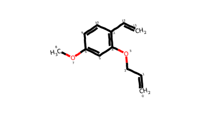 C=CCOc1cc(OC)ccc1C=C